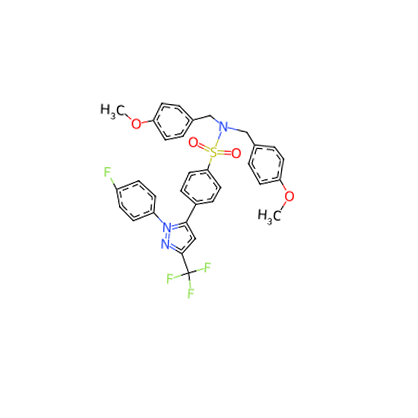 COc1ccc(CN(Cc2ccc(OC)cc2)S(=O)(=O)c2ccc(-c3cc(C(F)(F)F)nn3-c3ccc(F)cc3)cc2)cc1